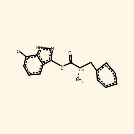 N[C@@H](Cc1ccccc1)C(=O)Nc1n[nH]c2c(Cl)cccc12